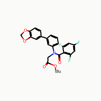 CC(C)(C)OC(=O)CN(C(=O)c1c(F)cc(F)cc1F)c1cccc(-c2ccc3c(c2)OCO3)c1